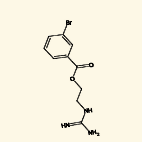 N=C(N)NCCOC(=O)c1cccc(Br)c1